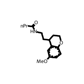 CCCC(=O)NCCC1CCOc2ccc(OC)cc21